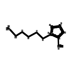 CCCCc1cnnn1CCCCCC(C)C